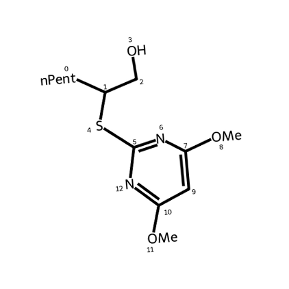 CCCCCC(CO)Sc1nc(OC)cc(OC)n1